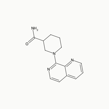 NC(=O)C1CCCN(c2nccc3cccnc23)C1